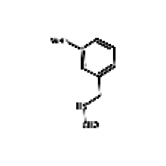 COc1cccc(CN[C]=O)c1